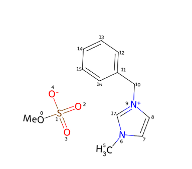 COS(=O)(=O)[O-].Cn1cc[n+](Cc2ccccc2)c1